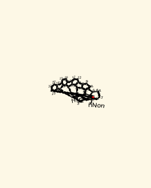 CCCCCCCCCC1N(C)CC23C4=c5ccc6c7ccc8c9ccc%10c%11ccc%12c%13c(c%14c%15c2c5c6c2c7c8c5c9c%10c(c%13%11)c%14c5c%152)C13C=%12C=C4